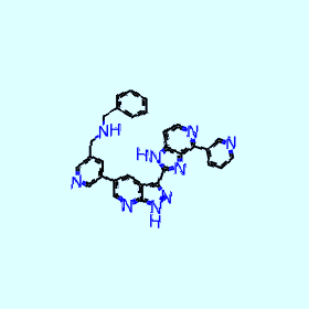 c1ccc(CNCc2cncc(-c3cnc4[nH]nc(-c5nc6c(-c7cccnc7)nccc6[nH]5)c4c3)c2)cc1